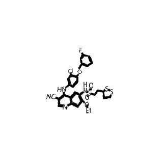 CCOc1cc2ncc(C#N)c(Nc3ccc(OCc4cccc(F)c4)c(Cl)c3)c2cc1NS(=O)(=O)CCC1CCSS1